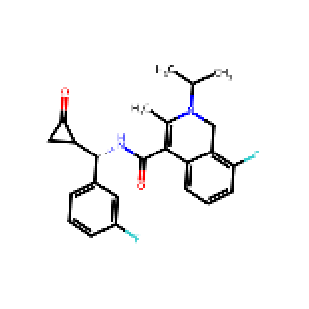 CC1=C(C(=O)N[C@H](c2cccc(F)c2)C2CC2=O)c2cccc(F)c2CN1C(C)C